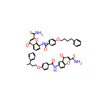 CC(CCOc1ccc(C(=O)Nc2ccc3oc(C(N)=S)cc(=O)c3c2)cc1)c1ccccc1.NC(=S)c1cc(=O)c2cccc(NC(=O)c3ccc(OCCCCc4ccccc4)cc3)c2o1